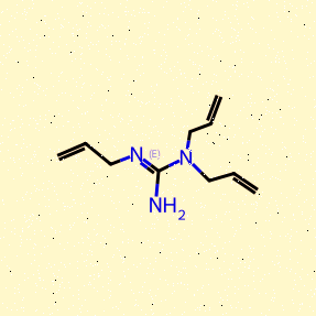 C=CC/N=C(\N)N(CC=C)CC=C